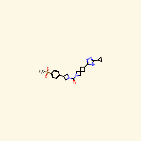 O=C(N1CC(c2ccc(S(=O)(=O)C(F)(F)F)cc2)C1)N1CC2(CC(c3nnc(C4CC4)[nH]3)C2)C1